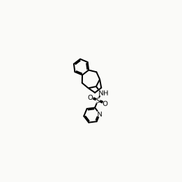 O=S(=O)(NC1C2CCC1Cc1ccccc1C2)c1ccccn1